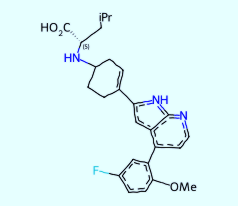 COc1ccc(F)cc1-c1ccnc2[nH]c(C3=CCC(N[C@@H](CC(C)C)C(=O)O)CC3)cc12